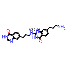 NCCCc1ccc2c(=O)[nH]c(N(CCCc3ccc4c(=O)[nH]cnc4c3)C(=O)O)nc2c1